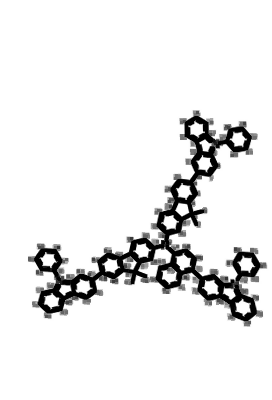 CC1(C)c2cc(-c3ccc4c(c3)c3ccccc3n4-c3ccccc3)ccc2-c2ccc(N(c3ccc4c(c3)C(C)(C)c3cc(-c5ccc6c7ccccc7n(-c7ccccc7)c6c5)ccc3-4)c3ccc(-c4ccc5c6ccccc6n(-c6ccccc6)c5c4)c4ccccc34)cc21